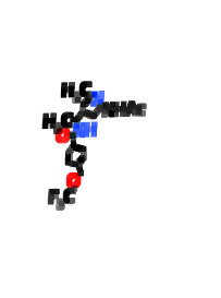 CC(=O)Nc1cc(C(C)NC(=O)c2ccc(COCC(F)(F)F)cc2)cc(C)n1